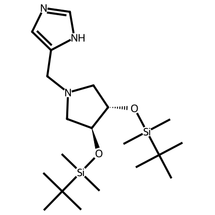 CC(C)(C)[Si](C)(C)O[C@H]1CN(Cc2cnc[nH]2)C[C@@H]1O[Si](C)(C)C(C)(C)C